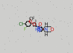 O=C(COc1ccc(Cl)c(F)c1)N[C@H]1C[C@H]2COC[C@@H](C1)N2c1cnn(C2CC(OC(F)(F)F)C2)c1